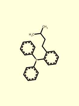 CC(C)CCc1ccccc1P(c1ccccc1)c1ccccc1